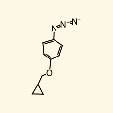 [N-]=[N+]=Nc1ccc(OCC2CC2)cc1